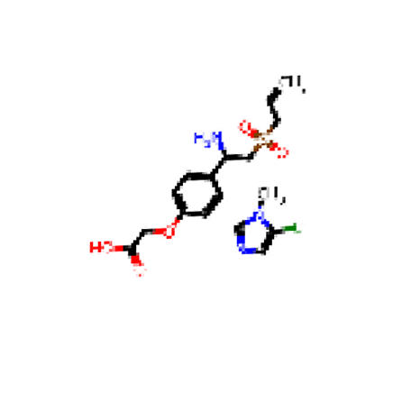 C=CCS(=O)(=O)CC(N)c1ccc(OCC(=O)O)cc1.Cn1cncc1Cl